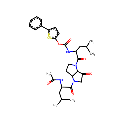 CC(=O)NC(CC(C)C)C(=O)N1CC(=O)C2C1CCN2C(=O)C(CC(C)C)NC(=O)Oc1ccc(-c2ccccc2)s1